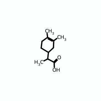 CC1=C(C)CC(C(C)C(=O)O)CC1